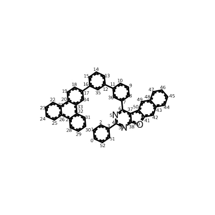 c1ccc(-c2nc(-c3cccc(-c4cccc(-c5ccc6c7ccccc7c7ccccc7c6c5)c4)c3)c3c(n2)oc2cc4ccccc4cc23)cc1